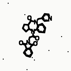 O=C1c2ccccc2C(=O)N1CC(=O)N1c2ccccc2N(Cc2ccncc2)C(=O)C2CCCC21